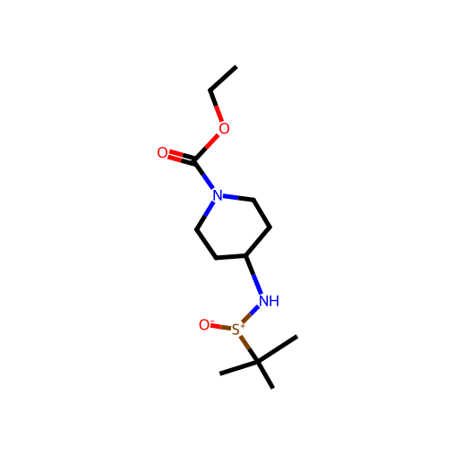 CCOC(=O)N1CCC(N[S+]([O-])C(C)(C)C)CC1